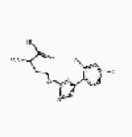 CC(CCSc1nnc(-c2ccc(Cl)cc2Cl)o1)C(=O)O